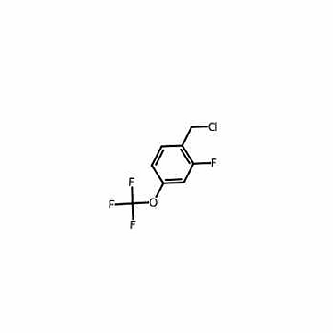 Fc1cc(OC(F)(F)F)ccc1CCl